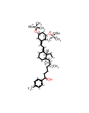 C[C@H](CCCC(O)c1ccc(C(F)(F)F)cc1)[C@H]1CC[C@H]2/C(=C/C=C3C[C@@H](O[Si](C)(C)C(C)(C)C)C[C@H](O[Si](C)(C)C(C)(C)C)C3)CCC[C@]12C